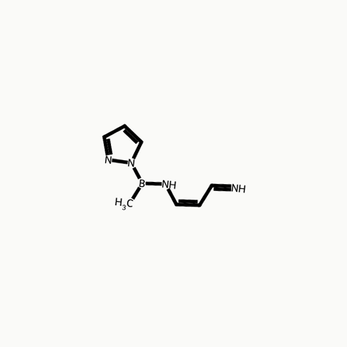 CB(N/C=C\C=N)n1cccn1